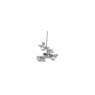 CCCCCCCCCCCCCCCCCC(=O)N[C@@H](CO[C@@H]1OC(CO)[C@@H](O[C@@H]2OC(CO)[C@H](O[C@@H]3OC(CO)[C@H](O)[C@H](O[C@@H]4OC(CO)[C@H](O)[C@H](O)C4O)C3C)[C@H](OC3C[C@@H](O)[C@@H](C)C([C@H](O)[C@H](O)CO)O3)C2O)[C@H](O)C1O)[C@H](O)/C=C/c1cc(C(F)(F)F)cc(Cl)c1F